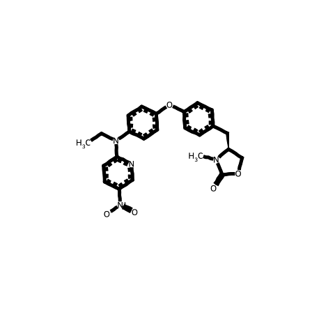 CCN(c1ccc(Oc2ccc(C[C@H]3COC(=O)N3C)cc2)cc1)c1ccc([N+](=O)[O-])cn1